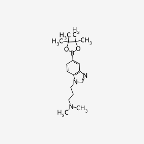 CN(C)CCCn1cnc2cc(B3OC(C)(C)C(C)(C)O3)ccc21